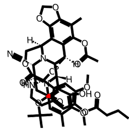 CCCC(=O)Oc1cc2c(cc1OC)[C@@]1(CS[C@@H]3c4c(OC(C)=O)c(C)c5c(c4[C@H](COC1=O)N1C3[C@@H]3c4c(cc(C)c(OC)c4O)C[C@@H]([C@@H]1C#N)N3C(=O)OC(C)(C)C)OCO5)NCC2